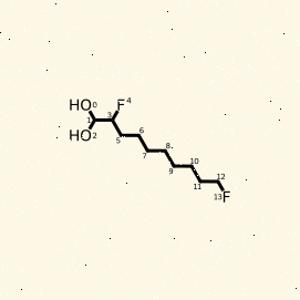 OC(O)C(F)CCCCCCCCF